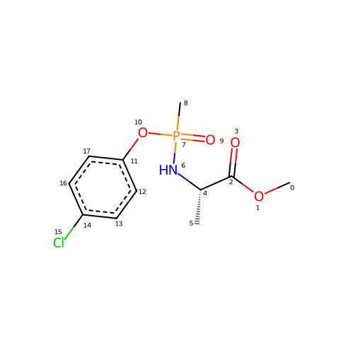 COC(=O)[C@H](C)NP(C)(=O)Oc1ccc(Cl)cc1